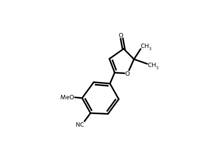 COc1cc(C2=CC(=O)C(C)(C)O2)ccc1C#N